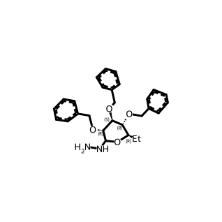 CC[C@H]1OC(NN)[C@H](OCc2ccccc2)[C@@H](OCc2ccccc2)[C@@H]1OCc1ccccc1